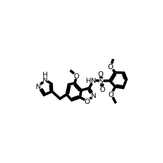 COc1cccc(OC)c1S(=O)(=O)Nc1noc2cc(Cc3cn[nH]c3)cc(OC)c12